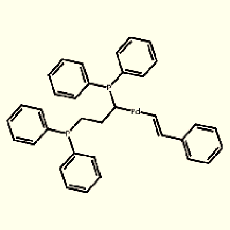 [CH](=Cc1ccccc1)[Pd][CH](CCP(c1ccccc1)c1ccccc1)P(c1ccccc1)c1ccccc1